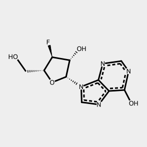 OC[C@H]1O[C@@H](n2cnc3c(O)ncnc32)[C@@H](O)[C@@H]1F